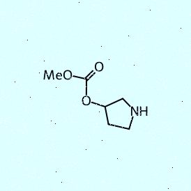 COC(=O)OC1CCNC1